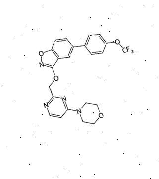 FC(F)(F)Oc1ccc(-c2ccc3onc(OCc4nccc(N5CCOCC5)n4)c3c2)cc1